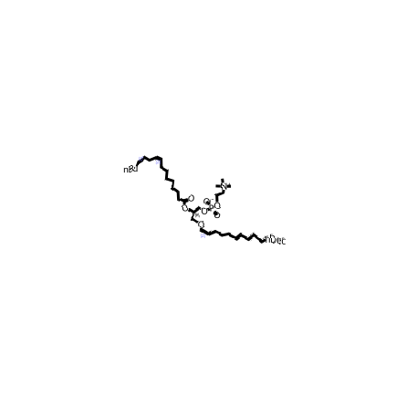 CCCC/C=C\C/C=C\CCCCCCCC(=O)O[C@H](CO/C=C\CCCCCCCCCCCCCCCCCC)COP(=O)([O-])OCC[N+](C)(C)C